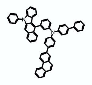 c1ccc(-c2ccc(N(c3ccc(-c4ccc5c(ccc6ccccc65)c4)cc3)c3cccc(-c4c5ccccc5cc5c4c4ccccc4n5-c4ccccc4)c3)cc2)cc1